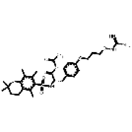 Cc1c(C)c(S(=O)(=O)N[C@@H](Cc2ccc(OCCCONC(=N)N)cc2)C(=O)OC(=O)C(F)(F)F)c(C)c2c1OC(C)(C)CC2